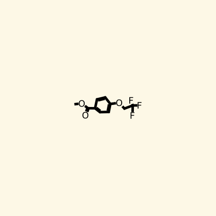 COC(=O)c1ccc(OCC(F)(F)F)cc1